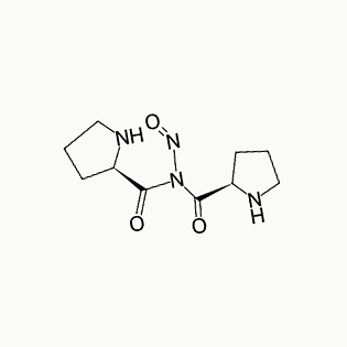 O=NN(C(=O)[C@H]1CCCN1)C(=O)[C@H]1CCCN1